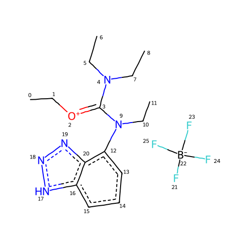 CC[O+]=C(N(CC)CC)N(CC)c1cccc2[nH]nnc12.F[B-](F)(F)F